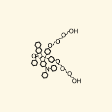 O=P1(c2ccccc2)C2=C(c3cc4ccccc4cc31)C(c1ccc(OCCOCCOCCO)cc1)(c1ccc(OCCOCCOCCO)cc1)c1cc(N(c3ccccc3)c3ccccc3)ccc12